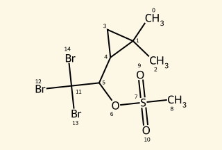 CC1(C)CC1C(OS(C)(=O)=O)C(Br)(Br)Br